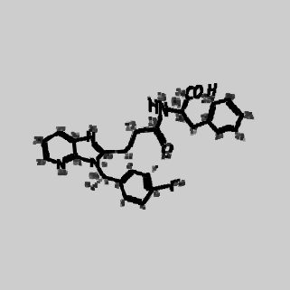 C[C@@H](c1ccc(F)cc1)n1c(CCC(=O)N[C@H](Cc2ccccc2)C(=O)O)nc2cccnc21